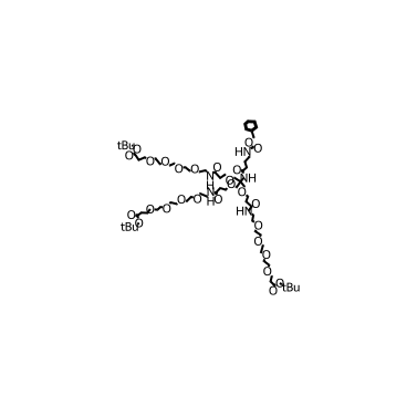 CC(C)(C)OC(=O)CCOCCOCCOCCOCCNC(=O)CCOCC(COCCC(=O)NCCOCCOCCOCCOCCC(=O)OC(C)(C)C)(COCCC(=O)NCCOCCOCCOCCOCCC(=O)OC(C)(C)C)NC(=O)CCCNC(=O)OCc1ccccc1